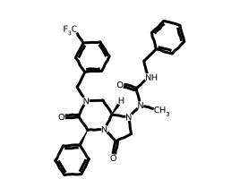 CN(C(=O)NCc1ccccc1)N1CC(=O)N2[C@@H](c3ccccc3)C(=O)N(Cc3cccc(C(F)(F)F)c3)C[C@@H]21